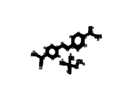 COP(=O)(O)O.O=C(O)c1ccc(C=Cc2ccc(C(=O)O)cc2)cc1